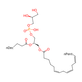 CCCCC/C=C\C/C=C\C/C=C\CCCCC(=O)OC[C@H](COP(=O)(O)OC[C@@H](O)CO)OC(=O)CCCCCCCCCCCC